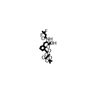 CC(F)(F)CC(=O)N[C@H]1Cc2cccc(C(=O)OC3(C)OC(C)(C)OC3=O)c2OB1O